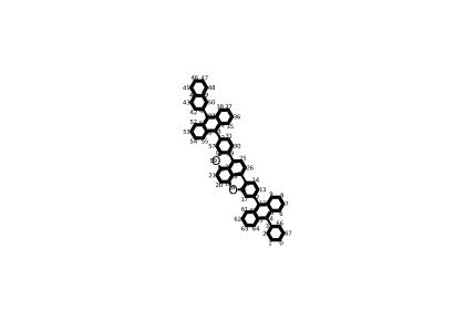 c1ccc(-c2c3ccccc3c(-c3ccc4c(c3)Oc3ccc5c6c(ccc-4c36)-c3ccc(-c4c6ccccc6c(-c6ccc7ccccc7c6)c6ccccc46)cc3O5)c3ccccc23)cc1